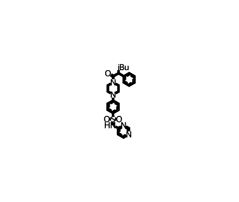 CCC(C)C(C(=O)N1CCN(c2ccc(S(=O)(=O)Nc3ccncn3)cc2)CC1)c1ccccc1